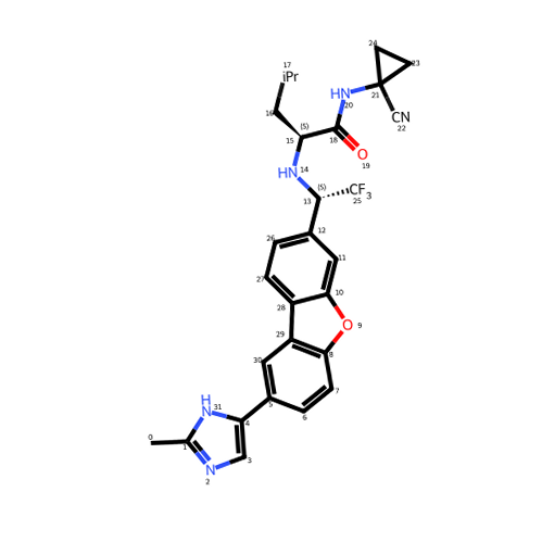 Cc1ncc(-c2ccc3oc4cc([C@H](N[C@@H](CC(C)C)C(=O)NC5(C#N)CC5)C(F)(F)F)ccc4c3c2)[nH]1